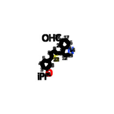 CC(C)Oc1cccc(-c2ccc(-c3ccnc4ccc(C=O)cc34)s2)c1